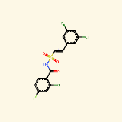 O=C(NS(=O)(=O)/C=C/c1cc(Cl)cc(Cl)c1)c1ccc(F)cc1Cl